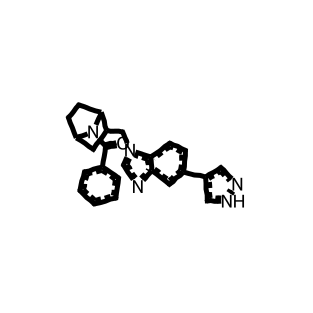 O=C(c1ccccc1)N1C2CCC1C(Cn1cnc3cc(-c4cn[nH]c4)ccc31)C2